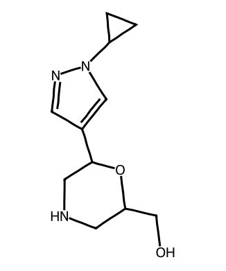 OCC1CNCC(c2cnn(C3CC3)c2)O1